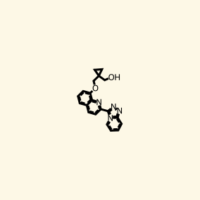 OCC1(COc2cccc3ccc(-c4nnc5ccccn45)nc23)CC1